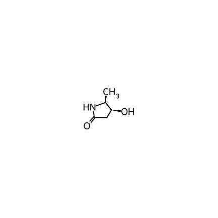 C[C@@H]1NC(=O)C[C@@H]1O